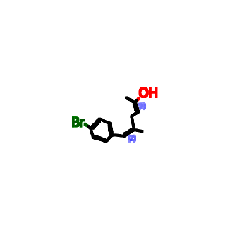 C/C(=C/c1ccc(Br)cc1)C/C=C(\C)O